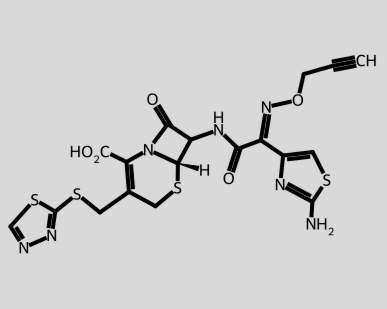 C#CCON=C(C(=O)NC1C(=O)N2C(C(=O)O)=C(CSc3nncs3)CS[C@@H]12)c1csc(N)n1